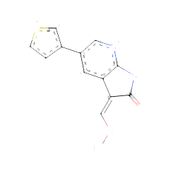 CCOC=C1C(=O)Nc2ncc(-c3ccsc3)cc21